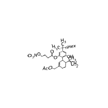 C=C(C)C1CCC(COC(C)=O)=CC1c1c(O)cc(C(C)(C)CCCCCC)cc1OC(=O)CCCO[N+](=O)[O-]